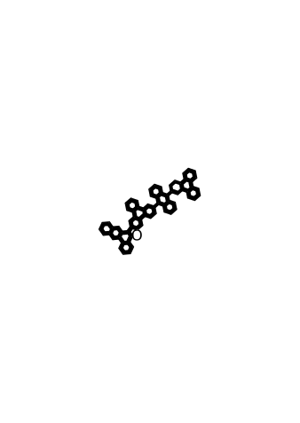 C1=C(c2c3ccccc3c(-c3ccc4c(c3)c3ccccc3c3cc5c(cc43)oc3c4ccccc4c4cc6ccccc6cc4c53)c3ccccc23)CCc2c1c1ccccc1c1ccccc21